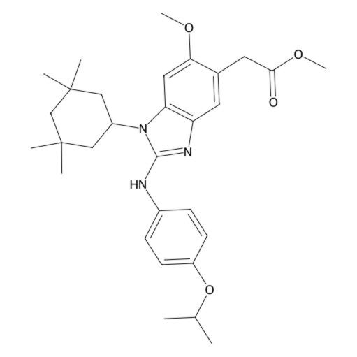 COC(=O)Cc1cc2nc(Nc3ccc(OC(C)C)cc3)n(C3CC(C)(C)CC(C)(C)C3)c2cc1OC